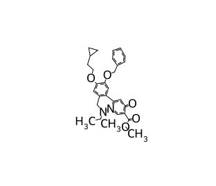 COC(=O)c1cn2c(cc1=O)-c1cc(OCc3ccccc3)c(OCCC3CC3)cc1CN2C(C)C